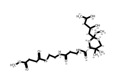 COC(=O)CCC(=O)SCCNC(=O)CCNC(=O)[C@@H]1OC(CC(O)CC(C)O)(OC)OCC1(C)C